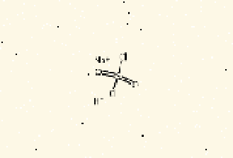 O=S(=O)(Cl)Cl.[H-].[Na+]